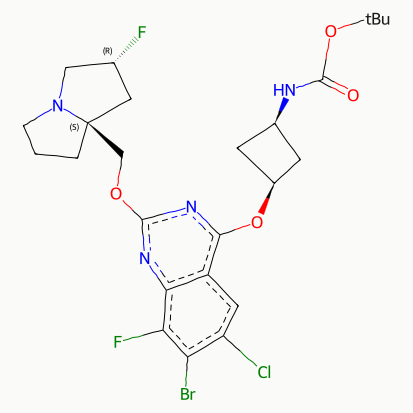 CC(C)(C)OC(=O)N[C@H]1C[C@@H](Oc2nc(OC[C@@]34CCCN3C[C@H](F)C4)nc3c(F)c(Br)c(Cl)cc23)C1